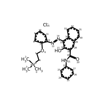 C[N+](C)(C)CCOc1ccccc1N=Nc1c(O)c(C(=O)Nc2ccccc2)cc2ccccc12.[Cl-]